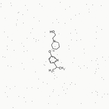 CC(C)c1ccc(O[C@H]2CCCN(CCO)C2)cn1